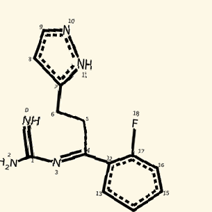 N=C(N)N=C(CCc1ccn[nH]1)c1ccccc1F